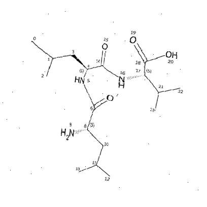 CC(C)C[C@H](NC(=O)[C@@H](N)CC(C)C)C(=O)N[C@H](C(=O)O)C(C)C